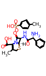 CC1=C(C(=O)O)N2C(=O)[C@@H](NC(=O)[C@H](N)c3ccccc3)[C@H]2SC1.Cc1ccc(S(=O)(=O)O)cc1